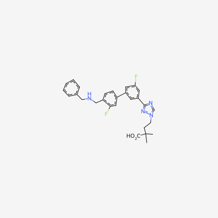 CC(C)(CCn1cnc(-c2cc(F)cc(-c3ccc(CNCc4ccccc4)c(F)c3)c2)n1)C(=O)O